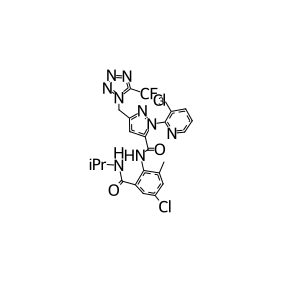 Cc1cc(Cl)cc(C(=O)NC(C)C)c1NC(=O)c1cc(Cn2nnnc2C(F)(F)F)nn1-c1ncccc1Cl